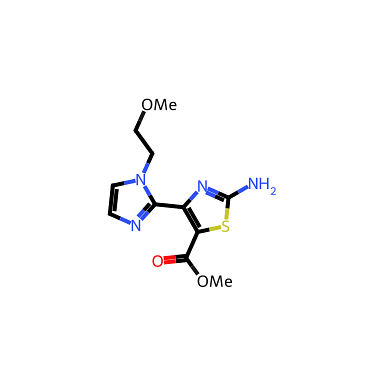 COCCn1ccnc1-c1nc(N)sc1C(=O)OC